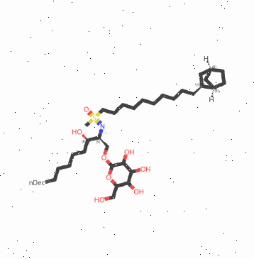 CCCCCCCCCCCCCCC[C@@H](O)[C@H](COC1OC(CO)C(O)C(O)C1O)N=S(C)(=O)CCCCCCCCCC[C@H]1C[C@H]2CC[C@@H]1C2